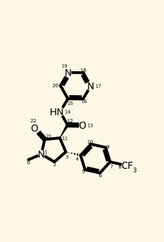 CN1C[C@@H](c2ccc(C(F)(F)F)cc2)[C@H](C(=O)Nc2cncnc2)C1=O